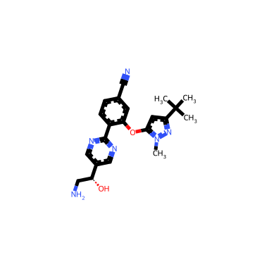 Cn1nc(C(C)(C)C)cc1Oc1cc(C#N)ccc1-c1ncc([C@H](O)CN)cn1